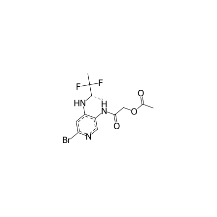 CC(=O)OCC(=O)Nc1cnc(Br)cc1N[C@@H](C)C(C)(F)F